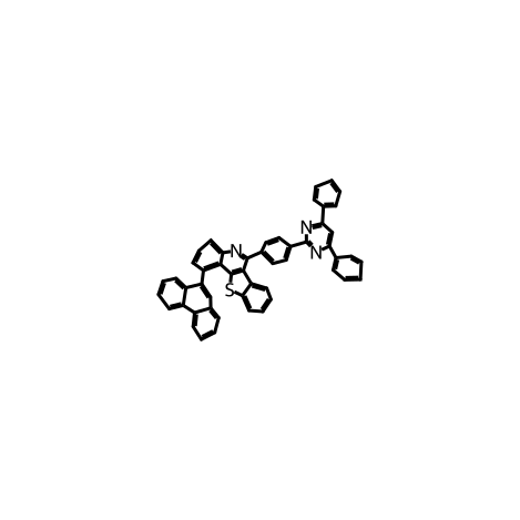 c1ccc(-c2cc(-c3ccccc3)nc(-c3ccc(-c4nc5cccc(-c6cc7ccccc7c7ccccc67)c5c5sc6ccccc6c45)cc3)n2)cc1